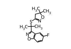 CC1(C)CC(SC(C)(C)c2noc3ccc(F)cc23)=NO1